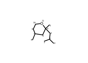 CC(C)CC1(C)CC(C)CCO1